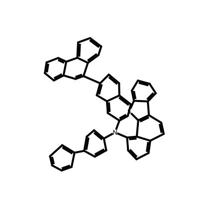 c1ccc(-c2ccc(N(c3ccc4ccc(-c5cc6ccccc6c6ccccc56)cc4c3)c3cccc4ccc5c6ccccc6sc5c34)cc2)cc1